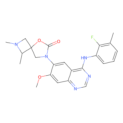 COc1cc2ncnc(Nc3cccc(C)c3F)c2cc1N1CC2(CN(C)C2C)OC1=O